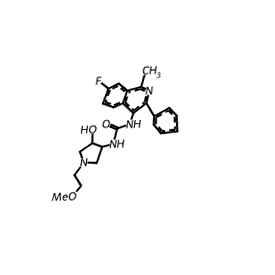 COCCN1CC(O)C(NC(=O)Nc2c(-c3ccccc3)nc(C)c3cc(F)ccc23)C1